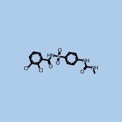 CNC(=O)Nc1ccc(S(=O)(=O)NC(=O)c2cccc(Cl)c2Cl)cc1